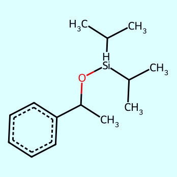 CC(O[SiH](C(C)C)C(C)C)c1ccccc1